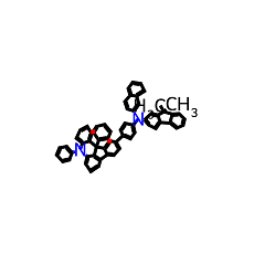 CC1(C)c2ccccc2-c2ccc(N(c3ccc(-c4ccc5c(c4)C4(c6ccccc6)c6ccccc6N(c6ccccc6)c6cccc-5c64)cc3)c3ccc4ccccc4c3)cc21